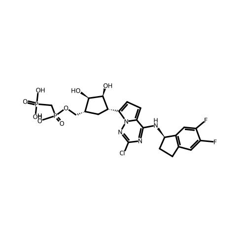 O=P(O)(O)CP(=O)(O)OC[C@H]1C[C@@H](c2ccc3c(N[C@@H]4CCc5cc(F)c(F)cc54)nc(Cl)nn23)[C@H](O)[C@@H]1O